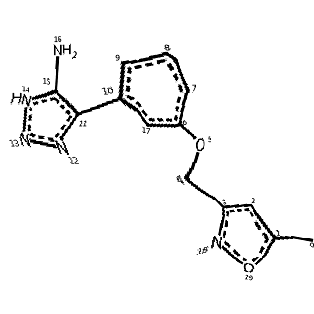 Cc1cc(COc2cccc(-c3nn[nH]c3N)c2)no1